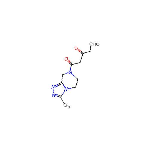 O=CCC(=O)CC(=O)N1CCn2c(nnc2C(F)(F)F)C1